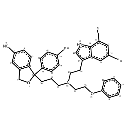 N#Cc1ccc2c(c1)COC2(CCCN(CCOc1ccccc1)CCc1c[nH]c2c(F)cc(F)cc12)c1ccc(F)cc1